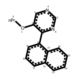 CCCOc1cn[c]nc1-c1cccc2ccccc12